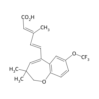 CC(/C=C/C1=CC(C)(C)COc2ccc(OC(F)(F)F)cc21)=C\C(=O)O